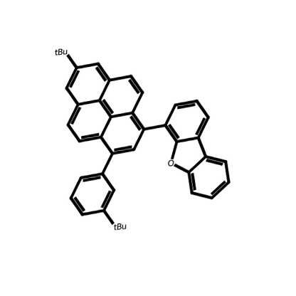 CC(C)(C)c1cccc(-c2cc(-c3cccc4c3oc3ccccc34)c3ccc4cc(C(C)(C)C)cc5ccc2c3c54)c1